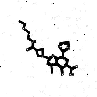 CCOCCNC(=O)C1CN(c2cc(C)c3c(=O)c(C(=O)O)cn(-c4nccs4)c3n2)C1